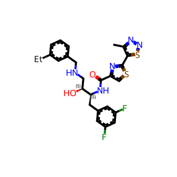 CCc1cccc(CNC[C@H](O)[C@H](Cc2cc(F)cc(F)c2)NC(=O)c2csc(-c3snnc3C)n2)c1